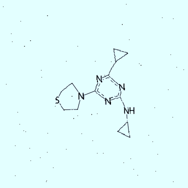 C1CN(c2nc(NC3CC3)nc(C3CC3)n2)CCS1